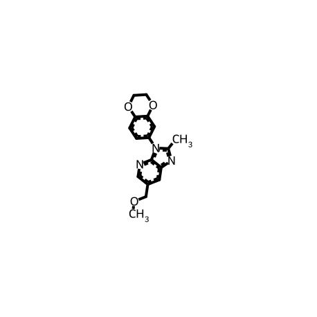 COCc1cnc2c(c1)nc(C)n2-c1ccc2c(c1)OCCO2